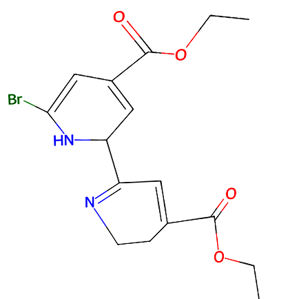 CCOC(=O)C1=CC(C2=NCCC(C(=O)OCC)=C2)NC(Br)=C1